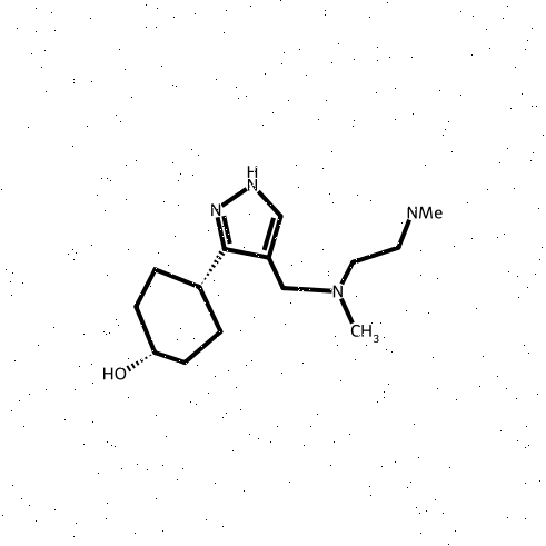 CNCCN(C)Cc1c[nH]nc1[C@H]1CC[C@@H](O)CC1